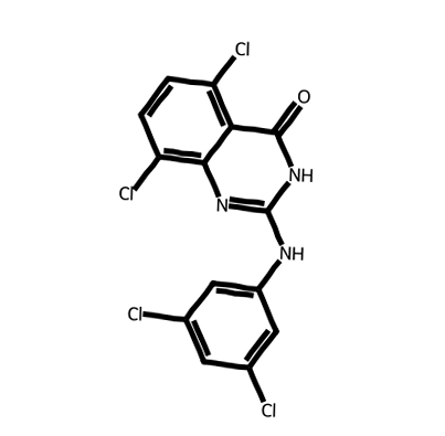 O=c1[nH]c(Nc2cc(Cl)cc(Cl)c2)nc2c(Cl)ccc(Cl)c12